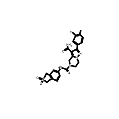 Cc1ccc(-c2nn3c(c2C(N)=O)CN(C(=O)Nc2ccc4c(c2)CS(=O)(=O)C4)CC3)cc1Cl